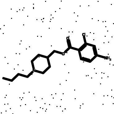 CCCCN1CCC(COC(=O)c2ccc(N)cc2Cl)CC1